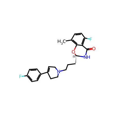 Cc1ccc(F)c2c1O[C@@H](CCCN1CC=C(c3ccc(F)cc3)CC1)NC2=O